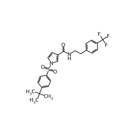 CC(C)(C)c1ccc(S(=O)(=O)n2ccc(C(=O)NCCc3ccc(C(F)(F)F)cc3)c2)cc1